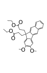 CCOC(=O)CCC1(CCC(=O)OCC)c2cc(OC)c(OC)cc2-c2cc3ccccc3cc21